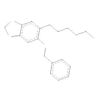 CCCCCCc1cc2c(cc1OCc1ccccc1)OCO2